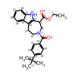 CCOC(=O)C1CN(C(=O)c2ccc(C(C)(C)C)cc2)CCc2c1[nH]c1ccccc21